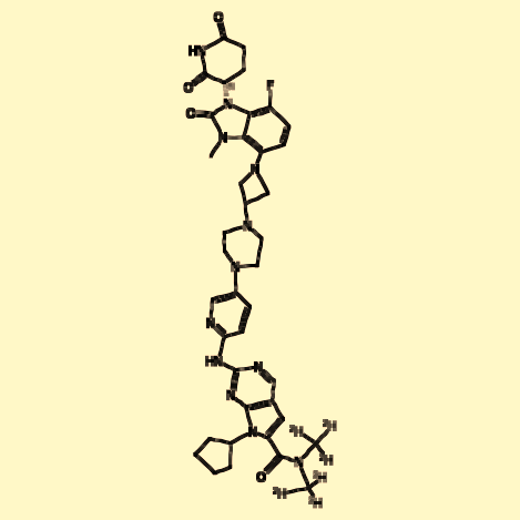 [2H]C([2H])([2H])N(C(=O)c1cc2cnc(Nc3ccc(N4CCN(C5CN(c6ccc(F)c7c6n(C)c(=O)n7[C@H]6CCC(=O)NC6=O)C5)CC4)cn3)nc2n1C1CCCC1)C([2H])([2H])[2H]